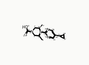 CC1CN(C(=O)O)C[C@@H](C)N1c1ncc(C2CC2)cn1